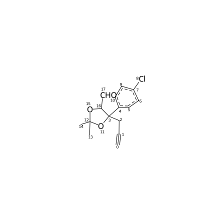 C#CCC1(c2ccc(Cl)cc2)OC(C)(C)OC1C=O